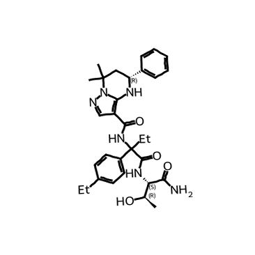 CCc1ccc(C(CC)(NC(=O)c2cnn3c2N[C@@H](c2ccccc2)CC3(C)C)C(=O)N[C@H](C(N)=O)[C@@H](C)O)cc1